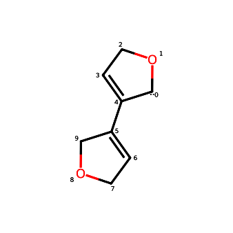 [C]1OCC=C1C1=CCOC1